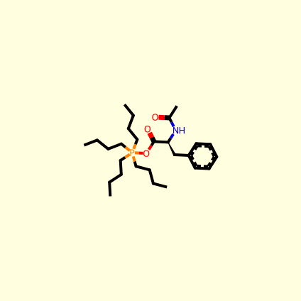 CCCCP(CCCC)(CCCC)(CCCC)OC(=O)[C@H](Cc1ccccc1)NC(C)=O